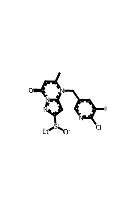 CC[S+]([O-])c1cc2n(Cc3cnc(Cl)c(F)c3)c(C)cc(=O)n2n1